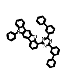 c1ccc(-c2cccc(-c3nc(-c4cccc(-c5ccccc5)c4)nc(-c4cccc5c4oc4cc6c7ccccc7n(-c7ccccc7)c6cc45)n3)c2)cc1